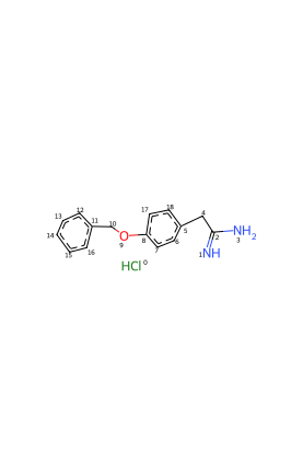 Cl.N=C(N)Cc1ccc(OCc2ccccc2)cc1